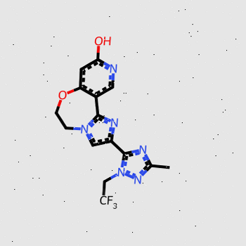 Cc1nc(-c2cn3c(n2)-c2cnc(O)cc2OCC3)n(CC(F)(F)F)n1